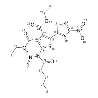 C=NN(C(=O)CCCC)c1sc(-c2ccc([N+](=O)[O-])s2)c(C(=O)OCC)c1C(=O)OCC